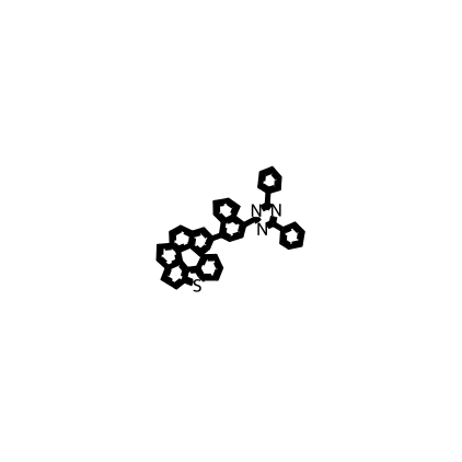 c1ccc(-c2nc(-c3ccccc3)nc(-c3ccc(-c4ccc5c(ccc6ccc7ccc8sc9ccccc9c8c7c65)c4)c4ccccc34)n2)cc1